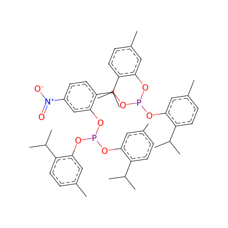 Cc1ccc(C(C)C)c(OP(OCc2ccc([N+](=O)[O-])cc2OP(Oc2cc(C)ccc2C(C)C)Oc2cc(C)ccc2C(C)C)Oc2cc(C)ccc2C(C)C)c1